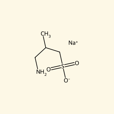 CC(CN)CS(=O)(=O)[O-].[Na+]